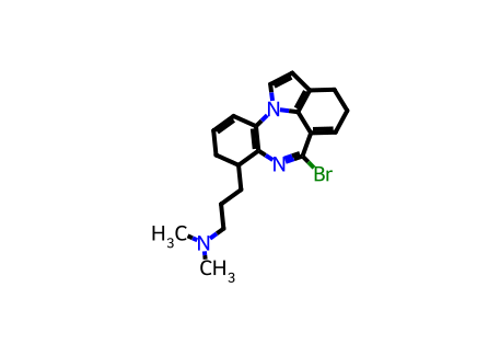 CN(C)CCCC1CC=CC2=C1N=C(Br)C1=CCCc3ccn2c31